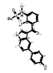 CCCCS(=O)(=O)[NH+]([O-])c1cccc(C(=O)c2c[nH]c3ncc(-c4ccc(Cl)cc4)cc23)c1F